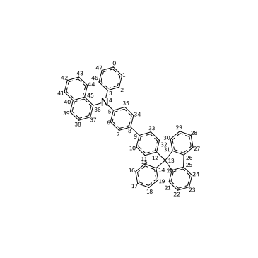 c1ccc(N(c2ccc(-c3ccc(C4(c5ccccc5)c5ccccc5-c5ccccc54)cc3)cc2)c2cccc3ccccc23)cc1